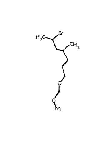 CCCOCOCCCC(C)CC(C)Br